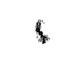 CC(C)CC(NC(c1ccc2c(c1)oc1ccc(S(=O)(=O)N3CCN(C)CC3)cc12)C(F)(F)F)C(=O)NC1(C#N)CC1